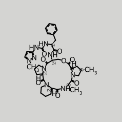 C[C@H]1C[C@H]2C(=O)OC[C@H](NC(=O)[C@H](Cc3ccccc3)NC(=O)Nc3ccn(C)n3)C(=O)N3CCC[C@H]3C(=O)N3CCCC[C@H]3C(=O)N[C@@H](C)C(=O)N2C1